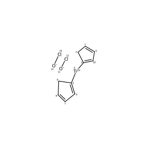 C1=CC[C]([Ti+2][C]2=CC=CC2)=C1.[O-]Cl.[O-]Cl